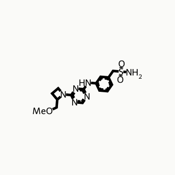 COCC1CCN1c1ncnc(Nc2cccc(CS(N)(=O)=O)c2)n1